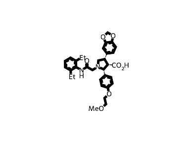 CCc1cccc(CC)c1NC(=O)CN1C[C@H](c2ccc3c(c2)OCO3)[C@H](C(=O)O)[C@@H]1c1ccc(OCCOC)cc1